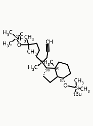 C#CC[C@@](C)(CCCC(C)(C)O[Si](C)(C)C)[C@H]1CCC2[C@@H](O[Si](C)(C)C(C)(C)C)CCC[C@@]21C